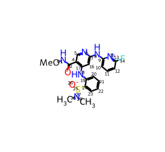 CONC(=O)c1cnc(Nc2cccc(F)n2)cc1Nc1ccccc1[S+]([O-])N(C)C